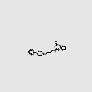 O=C1CC2(CCCC2)NC(=NCCCCN2CCN(c3ncccn3)CC2)S1